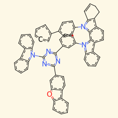 C1=Cc2c(c3ccc4c5ccccc5n(-c5cccc(-c6nc(-c7ccc8c(c7)oc7ccccc78)nc(-n7c8ccccc8c8ccccc87)n6)c5)c4c3n2-c2ccc(-c3ccccc3)cc2)CC1